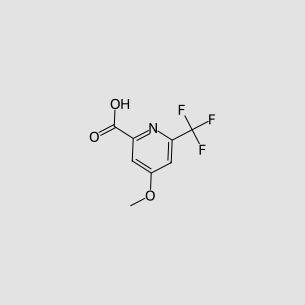 COc1cc(C(=O)O)nc(C(F)(F)F)c1